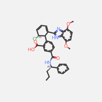 CCC[C@@H](NC(=O)c1ccc(C2C(c3nc4c(OC)ccc(OC)c4[nH]3)=CC=C[C@@H]2Cl)c(C(=O)O)c1)c1ccccc1